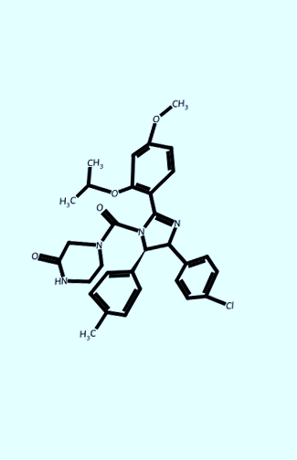 COc1ccc(C2=NC(c3ccc(Cl)cc3)[C@@H](c3ccc(C)cc3)N2C(=O)N2CCNC(=O)C2)c(OC(C)C)c1